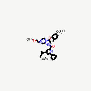 COCC1CC1c1cc(C(=O)N[C@@H](Cc2ccc(C(=O)O)cc2)C(=O)N2CCN(CCOC=O)CC2)nc(-c2ccccc2)c1